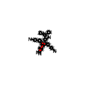 N#Cc1ccc(-c2ccc3c(c2)c2cc(-c4ccc(C#N)cc4)ccc2n3-c2cc(C#N)c(-c3cc(-c4ccccc4)nc(-c4ccccc4)c3)cc2-n2c3ccc(-c4ccc(C#N)cc4)cc3c3cc(-c4ccc(C#N)cc4)ccc32)cc1